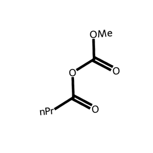 CCCC(=O)OC(=O)OC